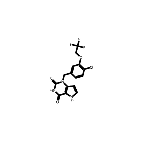 O=c1[nH]c(=S)n(Cc2ccc(Cl)c(OCC(F)(F)F)c2)c2cc[nH]c12